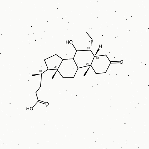 CC[C@H]1C(O)C2C3CCC([C@H](C)CCC(=O)O)[C@@]3(C)CCC2[C@@]2(C)CCC(=O)C[C@@H]12